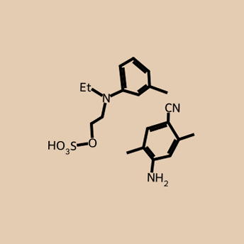 CCN(CCOS(=O)(=O)O)c1cccc(C)c1.Cc1cc(C#N)c(C)cc1N